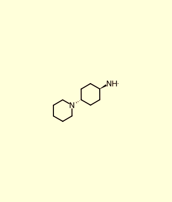 [NH][C@H]1CC[C@H](N2CCCCC2)CC1